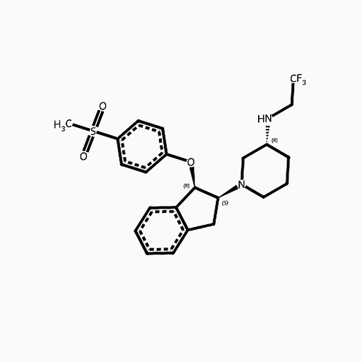 CS(=O)(=O)c1ccc(O[C@@H]2c3ccccc3C[C@@H]2N2CCC[C@@H](NCC(F)(F)F)C2)cc1